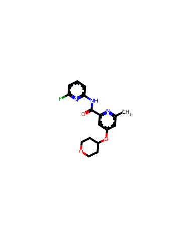 Cc1cc(OC2CCOCC2)cc(C(=O)Nc2cccc(F)n2)n1